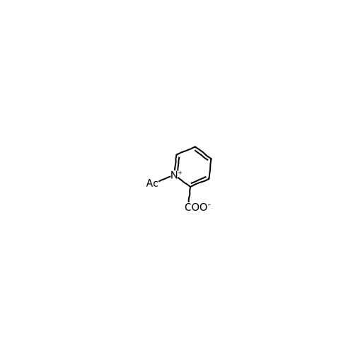 CC(=O)[n+]1ccccc1C(=O)[O-]